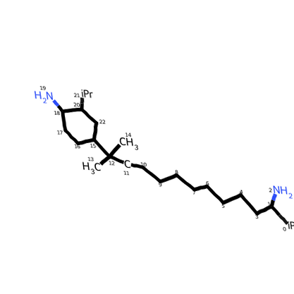 CC(C)C(N)CCCCCCCCCC(C)(C)C1CCC(N)C(C(C)C)C1